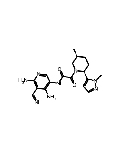 C[C@H]1CC[C@@H](c2ccnn2C)N(C(=O)C(=O)Nc2cnc(N)c(C=N)c2N)C1